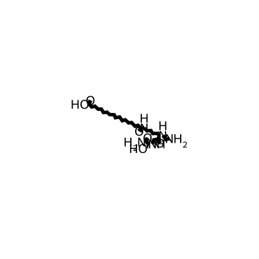 NCNC(CCCCNC(=O)CCCCCCCCCCCCCCCCC(=O)O)C(=O)CN[C@@H](CO)C(N)=O